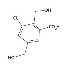 O=C(O)c1cc(CO)cc(Cl)c1CO